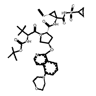 C=C[C@@H]1C[C@]1(NC(=O)[C@@H]1C[C@@H](Oc2nccc3c(N4CCOCC4)cccc23)CN1C(=O)[C@@H](NC(=O)OC(C)(C)C)C(C)(C)C)C(=O)NS(=O)(=O)C1CC1